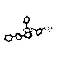 O=C(O)c1cccc(Cn2c(-c3ccccc3)nc3c(-c4ccc(C5=CCCCC5)cc4)cccc32)c1